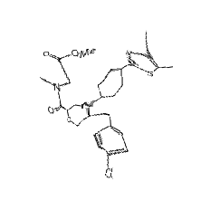 COC(=O)CN(C)C(=O)[C@H]1CN(C2CCC(c3nc(C)c(C)s3)CC2)[C@@H](Cc2ccc(Cl)cc2)CO1